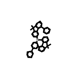 CC1(C)c2ccc(N(c3ccc(-c4ccccc4)cc3)c3cccc4c3-c3ccccc3C4(C)C)cc2-c2c(-c3ccccc3)cccc21